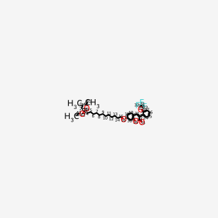 CCC[Si](CCCCCCCCCCCCOc1ccc2cc(-c3ccccc3OC(F)(F)F)c(=O)oc2c1)(OCC)OCC